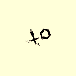 CC(C)(C)C#N.c1ccccc1